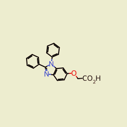 O=C(O)COc1ccc2nc(-c3ccccc3)n(-c3ccccc3)c2c1